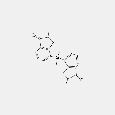 CC1Cc2c(cccc2[Si](C)(C)c2cccc3c2CC(C)C3=O)C1=O